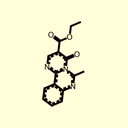 CCOC(=O)c1cnc2c3ccccc3nc(C)n2c1=O